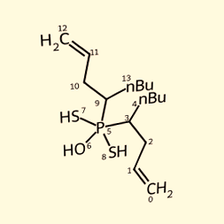 C=CCC(CCCC)P(O)(S)(S)C(CC=C)CCCC